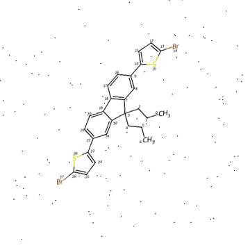 CCCC1(CCC)c2cc(-c3ccc(Br)s3)ccc2-c2ccc(-c3ccc(Br)s3)cc21